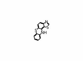 c1ccc2c(c1)Nc1c(ccc3ncsc13)S2